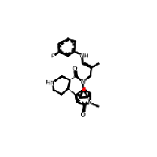 C/C(=C\Nc1cccc(F)c1)CN(C(=O)[C@H]1CNCC[C@@H]1c1ccn(C)c(=O)c1)C1CC1